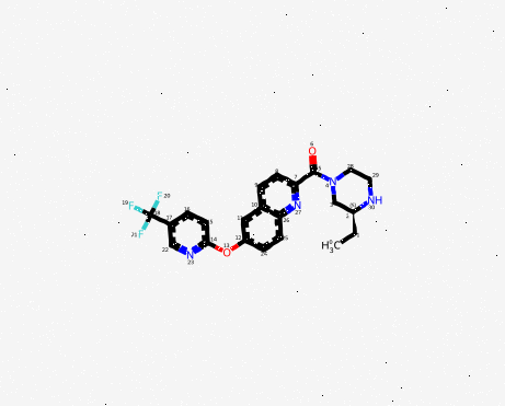 CC[C@H]1CN(C(=O)c2ccc3cc(Oc4ccc(C(F)(F)F)cn4)ccc3n2)CCN1